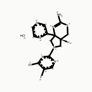 CCc1nc(N2C[C@H]3CSC(N)=NC3(c3cnccn3)C2)ncc1F.Cl